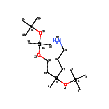 C[Si](C)(C)O[Si](C)(CCCN)CCO[Si](C)(C)O[Si](C)(C)C